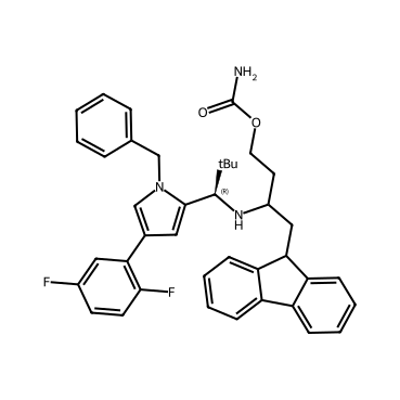 CC(C)(C)[C@@H](NC(CCOC(N)=O)CC1c2ccccc2-c2ccccc21)c1cc(-c2cc(F)ccc2F)cn1Cc1ccccc1